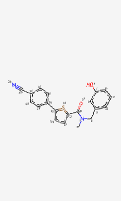 CN(Cc1cccc(O)c1)C(=O)c1ccc(-c2ccc(C#N)cc2)s1